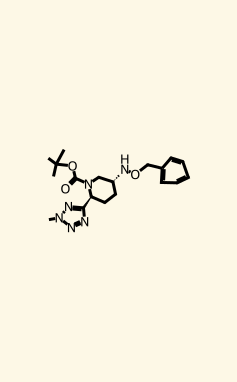 Cn1nnc([C@@H]2CC[C@@H](NOCc3ccccc3)CN2C(=O)OC(C)(C)C)n1